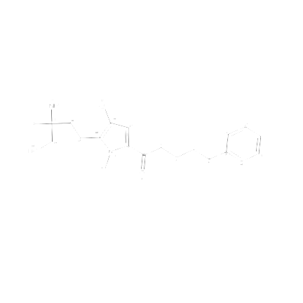 Cn1c(C(=O)CCCCc2ccccc2)cc(Cl)c1CCC(C)(N)CO